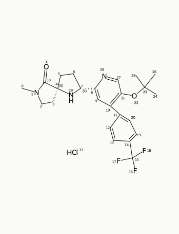 CN1CC[C@@]2(CC[C@H](c3cc(-c4ccc(C(F)(F)F)cc4)c(OC(C)(C)C)cn3)N2)C1=O.Cl